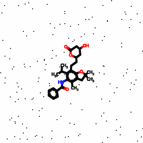 Cc1c2c(c(CCC3CC(O)CC(=O)O3)c(C(C)C)c1NC(=O)c1ccccc1)OC(C)(C)C2